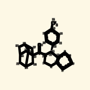 O=C(N1CCc2ccccc2[C@H]1c1ccc(C(F)(F)F)cc1)C12CC3CC(CC(C3)C1)C2